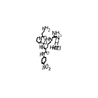 Cl.Cl.N=C(N)NCCC[C@H](NC(=O)[C@@H]1CCCN1C(=O)CCN)C(=O)Nc1ccc([N+](=O)[O-])cc1